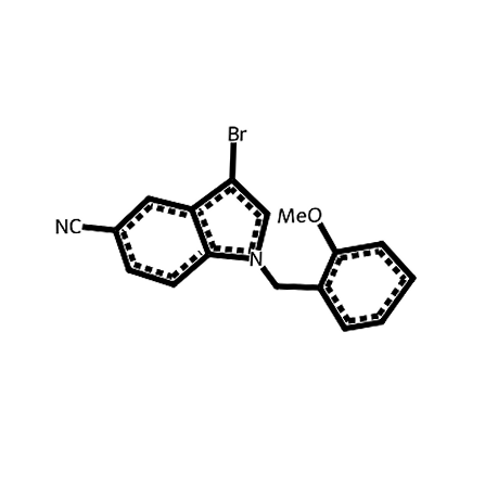 COc1ccccc1Cn1cc(Br)c2cc(C#N)ccc21